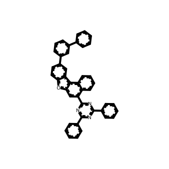 c1ccc(-c2cccc(-c3ccc4oc5cc(-c6nc(-c7ccccc7)nc(-c7ccccc7)n6)c6ccccc6c5c4c3)c2)cc1